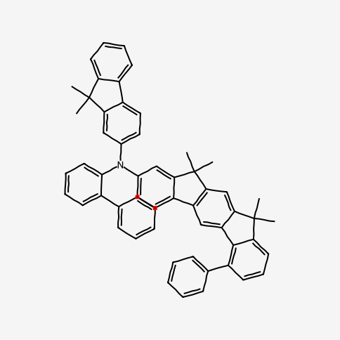 CC1(C)c2ccccc2-c2ccc(N(c3ccc4c(c3)C(C)(C)c3cc5c(cc3-4)-c3c(-c4ccccc4)cccc3C5(C)C)c3ccccc3-c3ccccc3)cc21